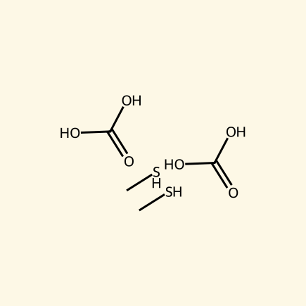 CS.CS.O=C(O)O.O=C(O)O